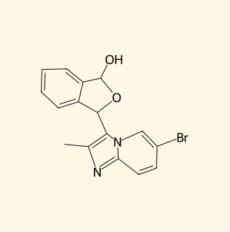 Cc1nc2ccc(Br)cn2c1C1OC(O)c2ccccc21